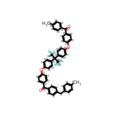 Cc1ccc(Cc2ccc(C(=O)c3ccc(Oc4ccc(C(c5ccc(Oc6ccc(C(=O)c7ccc(C)cc7)cc6)cc5)(C(F)(F)F)C(F)(F)F)cc4)cc3)cc2)cc1